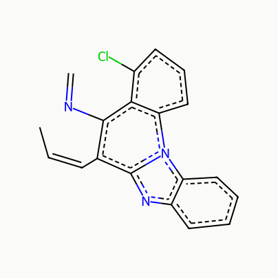 C=Nc1c(/C=C\C)c2nc3ccccc3n2c2cccc(Cl)c12